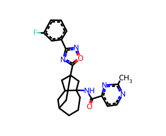 Cc1nccc(C(=O)NC23CCCC4CC2CC(c2nc(-c5cccc(F)c5)no2)(C4)C3)n1